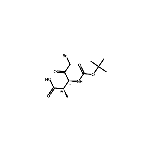 C[C@@H](C(=O)O)[C@H](NC(=O)OC(C)(C)C)C(=O)CBr